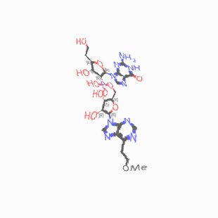 COCCc1ncnc2c1ncn2[C@@H]1O[C@H](COP(=O)(O)[C@@H]2[C@H](O)[C@@H](CCO)O[C@H]2n2cnc3c(=O)[nH]c(N)nc32)[C@@H](O)[C@H]1O